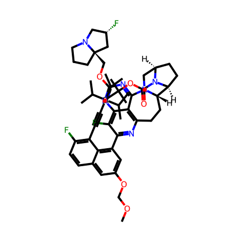 COCOc1cc(-c2nc3c4c(nc(OC[C@@]56CCCN5C[C@H](F)C6)nc4c2F)N2C[C@H]4CC[C@@H]([C@@H]2CC3)N4C(=O)OC(C)(C)C)c2c(C#C[Si](C(C)C)(C(C)C)C(C)C)c(F)ccc2c1